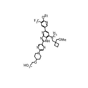 CCOc1ncc(-c2cc(N(C)CC3(COC)CCC3)c3[nH]c(-c4cnc(N5CCC(OCC(=O)O)CC5)cn4)nc3n2)cc1C(F)(F)F